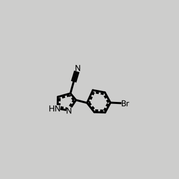 N#Cc1c[nH]nc1-c1ccc(Br)cc1